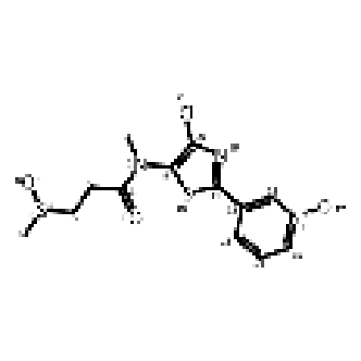 CN(C(=O)CC[S+](C)[O-])c1sc(-c2ccc[n+]([O-])c2)nc1Cl